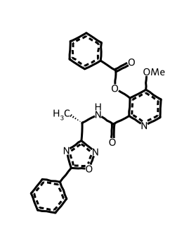 COc1ccnc(C(=O)N[C@@H](C)c2noc(-c3ccccc3)n2)c1OC(=O)c1ccccc1